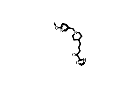 COc1ccc(CN2CCC(CCCC(=O)c3ncco3)CC2)cn1